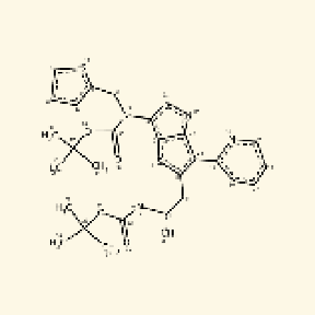 C[C@@H](Cc1sc2c(N(Cc3cccs3)C(=O)OC(C)(C)C)snc2c1-c1ccccn1)NC(=O)OC(C)(C)C